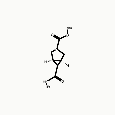 CC(C)NC(=O)C1[C@H]2CN(C(=O)OC(C)(C)C)C[C@@H]12